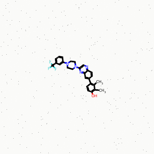 Cc1c(O)ccc(-c2ccc3ncc(N4CCN(c5cccc(C(F)(F)F)c5)CC4)nc3c2)c1C